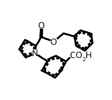 O=C(O)c1cccc(-n2cccc2C(=O)OCc2ccccc2)c1